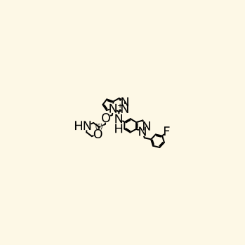 Fc1cccc(Cn2ncc3cc(NC4=NN=CC5=CC=C[N+]54COC[C@@H]4CNCCO4)ccc32)c1